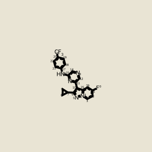 Fc1ccn2nc(C3CC3)c(-c3cncc(Nc4ccc(C(F)(F)F)cc4)n3)c2c1